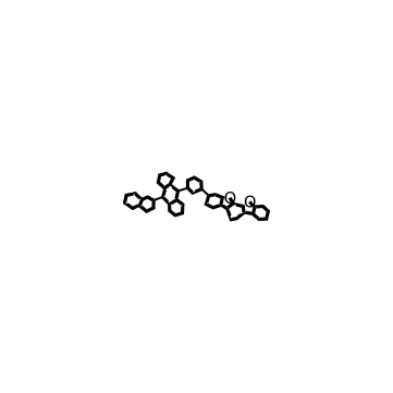 c1cc(-c2ccc3c(c2)oc2c3ccc3c4ccccc4oc32)cc(-c2c3ccccc3c(-c3ccc4ccccc4c3)c3ccccc23)c1